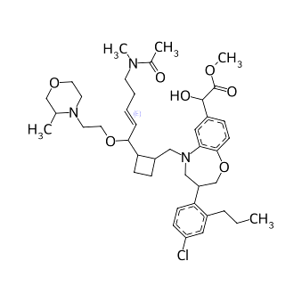 CCCc1cc(Cl)ccc1C1COc2ccc(C(O)C(=O)OC)cc2N(CC2CCC2C(/C=C/CCN(C)C(C)=O)OCCN2CCOCC2C)C1